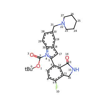 CC(C)(C)OC(=O)n1c(-c2ccc(F)c3c2C(=O)NC3)cc2cc(CN3CCCCC3)ccc21